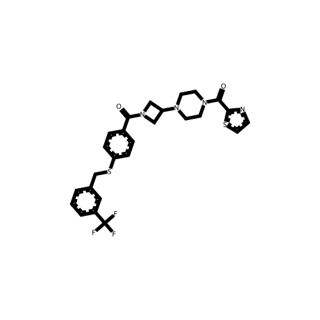 O=C(c1ccc(SCc2cccc(C(F)(F)F)c2)cc1)N1CC(N2CCN(C(=O)c3nccs3)CC2)C1